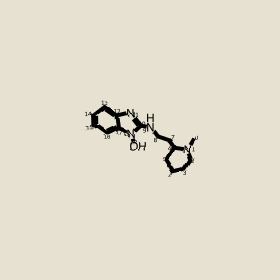 CN1CCCCC1CCNc1nc2ccccc2n1O